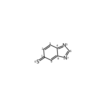 S=C1C=CC2=NC=NC2=C1